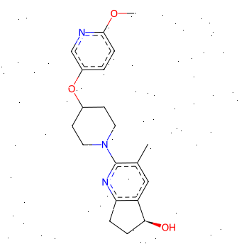 COc1ccc(OC2CCN(c3nc4c(cc3C)[C@@H](O)CC4)CC2)cn1